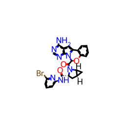 Nc1ncnc2c1cc1n2C(C(=O)N2[C@@H](C(=O)Nc3cccc(Br)n3)C[C@@H]3C[C@@H]32)Oc2ccccc2-1